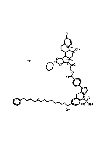 C[C@]12C=CC(=O)C=C1CCC1C2[C@@H](O)C[C@@]2(C)C1C1O[C@@H](C3CCCCC3)OC1[C@@H]2C(=O)COC(=O)c1ccc(-[n+]2cc[nH]c2Cc2cc(C(O)CNCCCCCCOCCCCc3ccccc3)ccc2OP(=O)(O)O)cc1.[Cl-]